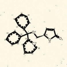 O=C1C=C[C@H](COC(c2ccccc2)(c2ccccc2)c2ccccc2)O1